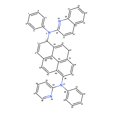 C1=CC(N(c2ccccc2)c2ccc3ccccc3n2)C2=CCc3ccc(N(c4ccccc4)c4ccccn4)c4ccc1c2c34